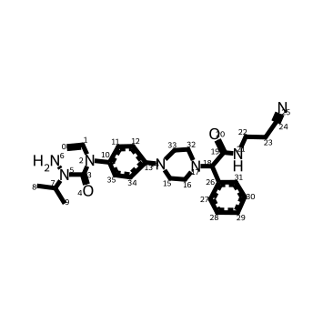 C=CN(C(=O)N(N)C(C)C)c1ccc(N2CCN(C(C(=O)NCCC#N)c3ccccc3)CC2)cc1